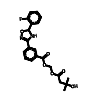 CC(C)(O)CC(=O)OCOC(=O)c1cccc(C2=NOC(c3ccccc3F)N2)c1